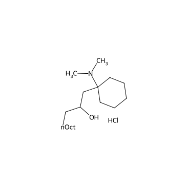 CCCCCCCCCC(O)CC1(N(C)C)CCCCC1.Cl